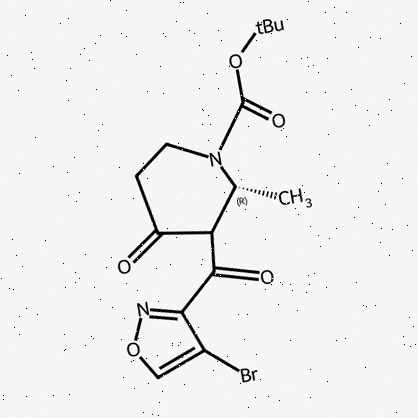 C[C@@H]1C(C(=O)c2nocc2Br)C(=O)CCN1C(=O)OC(C)(C)C